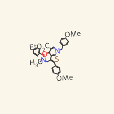 CCOC(=O)c1cn(Cc2ccc(OC)cc2)c2sc(-c3ccc(OC)cc3)c(CN(C)Cc3ccccc3)c2c1=O